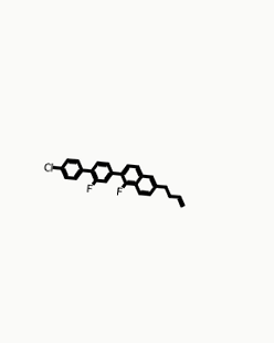 C=CCCc1ccc2c(F)c(-c3ccc(-c4ccc(Cl)cc4)c(F)c3)ccc2c1